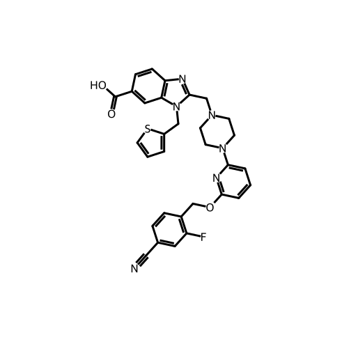 N#Cc1ccc(COc2cccc(N3CCN(Cc4nc5ccc(C(=O)O)cc5n4Cc4cccs4)CC3)n2)c(F)c1